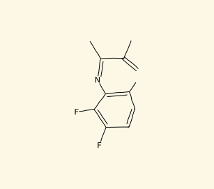 C=C(C)/C(C)=N\c1c(C)ccc(F)c1F